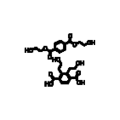 O=C(O)c1ccc(C(=O)O)c(CCO)c1CCO.O=C(OCCO)c1ccc(C(=O)OCCO)cc1